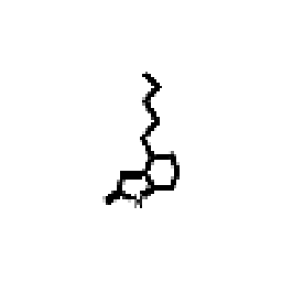 C=C1C=C2C(=N1)CCCC2CCCCC